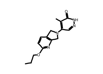 CCCOc1ccc2c(n1)CN(c1cn[nH]c(=O)c1C)C2